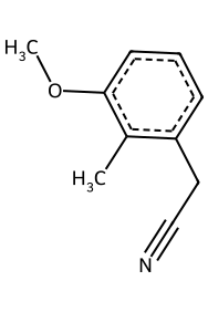 COc1cccc(CC#N)c1C